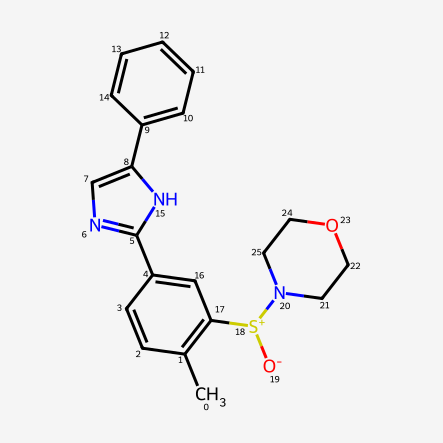 Cc1ccc(-c2ncc(-c3ccccc3)[nH]2)cc1[S+]([O-])N1CCOCC1